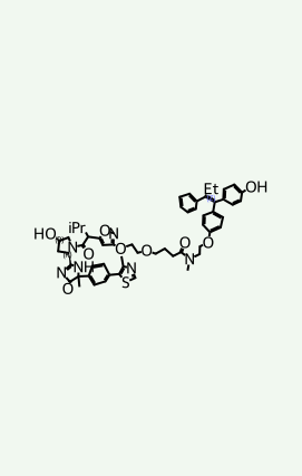 CC/C(=C(\c1ccc(O)cc1)c1ccc(OCCN(C)C(=O)CCCOCCOc2cc(C(C(=O)N3C[C@H](O)C[C@@H]3C3=NC(=O)C(C)(c4ccc(-c5scnc5C)cc4)N3)C(C)C)on2)cc1)c1ccccc1